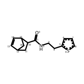 O=C(NCCc1cccs1)C1CC2C=CC1C2